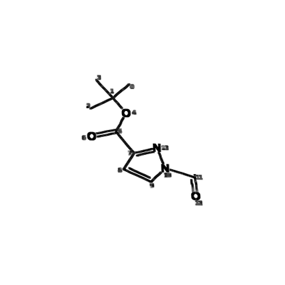 CC(C)(C)OC(=O)c1ccn([C]=O)n1